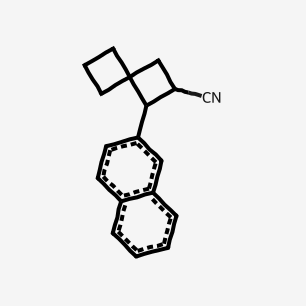 N#CC1CC2(CCC2)C1c1ccc2ccccc2c1